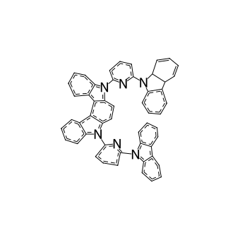 C1=CC2c3ccccc3N(c3cccc(-n4c5ccccc5c5c6c7ccccc7n(-c7cccc(-n8c9ccccc9c9ccccc98)n7)c6ccc54)n3)C2C=C1